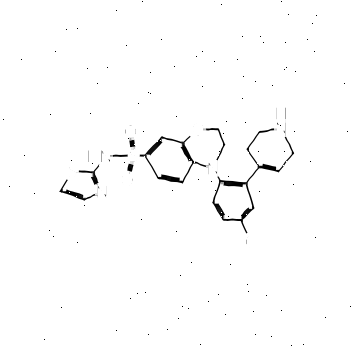 O=S(=O)(Nc1nccs1)c1ccc2c(c1)OCCN2c1ccc(Cl)cc1C1=CCNCC1